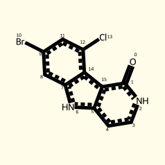 O=c1[nH]ccc2[nH]c3cc(Br)cc(Cl)c3c12